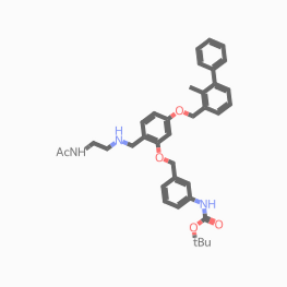 CC(=O)NCCNCc1ccc(OCc2cccc(-c3ccccc3)c2C)cc1OCc1cccc(NC(=O)OC(C)(C)C)c1